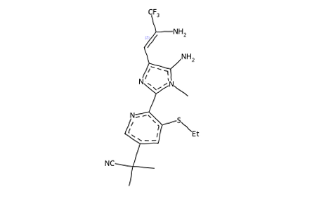 CCSc1cc(C(C)(C)C#N)cnc1-c1nc(/C=C(\N)C(F)(F)F)c(N)n1C